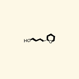 OCCCC[C@@H]1CCCCO1